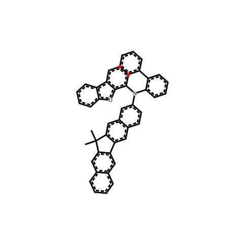 CC1(C)c2cc3ccccc3cc2-c2cc3ccc(N(c4ccccc4-c4ccccc4)c4cccc5c4oc4ccccc45)cc3cc21